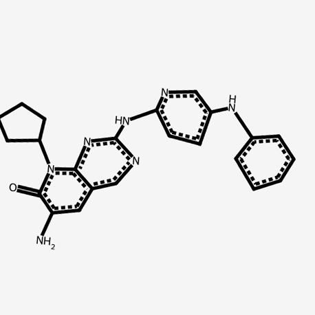 Nc1cc2cnc(Nc3ccc(Nc4ccccc4)cn3)nc2n(C2CCCC2)c1=O